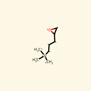 C[Si](C)(C)CCCC1CO1